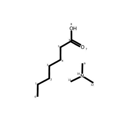 CCCCCCC(=O)O.CN(C)C